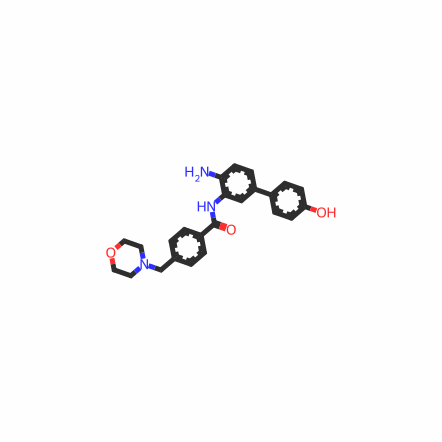 Nc1ccc(-c2ccc(O)cc2)cc1NC(=O)c1ccc(CN2CCOCC2)cc1